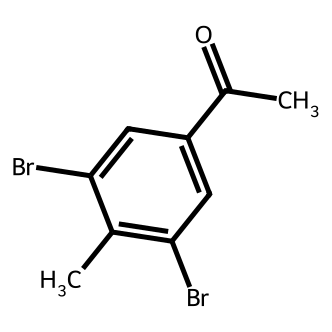 CC(=O)c1cc(Br)c(C)c(Br)c1